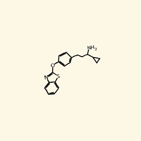 NC(CCc1ccc(Oc2nc3ccccc3s2)cc1)C1CC1